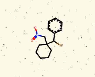 O=[N+]([O-])CC1(C(S)c2ccccc2)CCCCC1